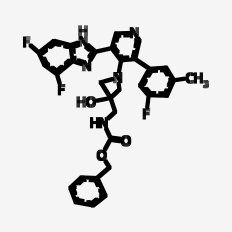 Cc1cc(F)cc(-c2cncc(-c3nc4c(F)cc(F)cc4[nH]3)c2N2CC(O)(CNC(=O)OCc3ccccc3)C2)c1